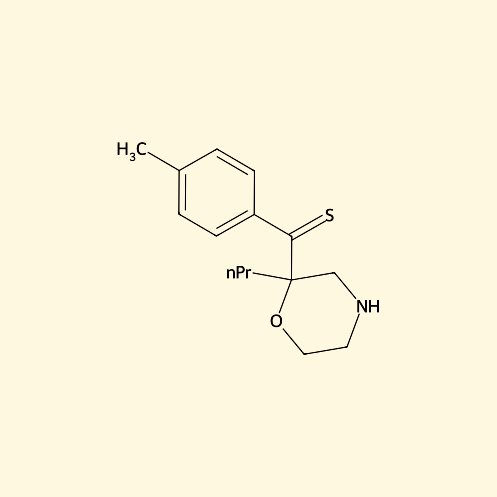 CCCC1(C(=S)c2ccc(C)cc2)CNCCO1